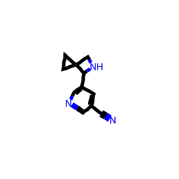 N#Cc1cncc(C2NCC23CC3)c1